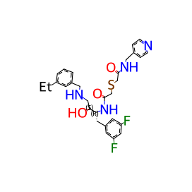 CCc1cccc(CNC[C@H](O)[C@@H](Cc2cc(F)cc(F)c2)NC(=O)CSCC(=O)NCc2ccncc2)c1